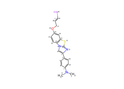 CN(C)c1ccc(-c2cn3c(n2)sc2cc(OC/C=C/[123I])ccc23)cc1